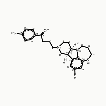 O=C(CCCN1CC[C@@H]2[C@H](C1)c1cc(F)cc3c1N2CCCS3)c1ccc(F)cc1